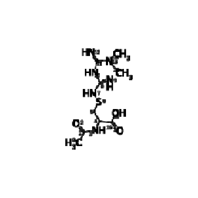 CC(=O)NC(CSNC(=N)NC(=N)N(C)C)C(=O)O